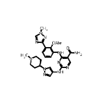 COc1c(Nc2nc(Nc3cnn(C4CCN(C)CC4)c3)ncc2C(N)=O)cccc1-c1ncn(C)n1